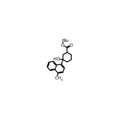 Cc1ccc(C2(O)CCCC(C(=O)OC(C)(C)C)C2)c2ccccc12